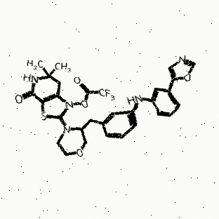 CC1(C)CC2=C(SC(N3CCOCC3Cc3cccc(Nc4cccc(-c5cnco5)c4)c3)N2OC(=O)C(F)(F)F)C(=O)N1